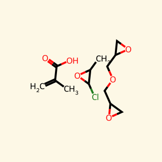 C(OCC1CO1)C1CO1.C=C(C)C(=O)O.CC1OC1Cl